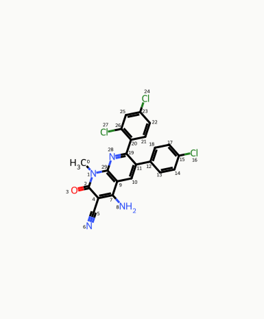 Cn1c(=O)c(C#N)c(N)c2cc(-c3ccc(Cl)cc3)c(-c3ccc(Cl)cc3Cl)nc21